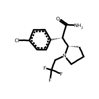 NC(=O)[C@@H](c1ccc(Cl)cc1)[C@@H]1CCCN1CC(F)(F)F